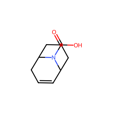 O=C(O)N1C2C=CCC1CCC2